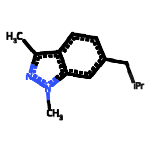 Cc1nn(C)c2cc(CC(C)C)ccc12